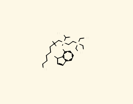 CCCCCCC(C)(C)C[Si](CC[Si](CC)(CC)CC)(Oc1cccc2c1C(F)[C]=C2)C(C)C